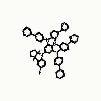 CC12CCCC1(C)N(c1cc3c4c(c1)N(c1ccc(-c5ccccc5)cc1)c1ccc(-c5ccccc5)cc1B4c1cc(-c4ccccc4)ccc1N3c1ccc(-c3ccccc3)cc1)c1ccc(F)cc12